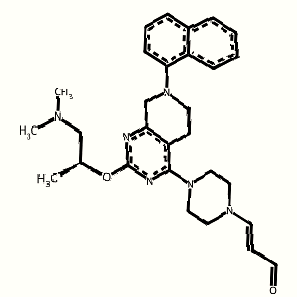 C[C@@H](CN(C)C)Oc1nc2c(c(N3CCN(C=CC=O)CC3)n1)CCN(c1cccc3ccccc13)C2